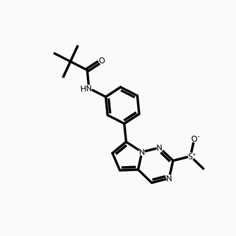 C[S+]([O-])c1ncc2ccc(-c3cccc(NC(=O)C(C)(C)C)c3)n2n1